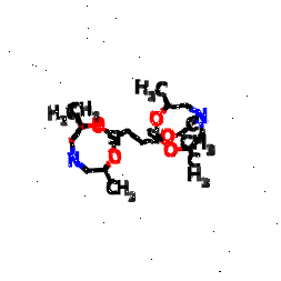 CC1CN2CC(C)O[Si](CC[Si]34OC(C)CN(CC(C)O3)CC(C)O4)(O1)OC(C)C2